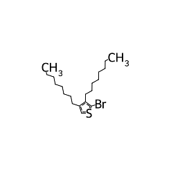 CCCCCCCCc1csc(Br)c1CCCCCCCC